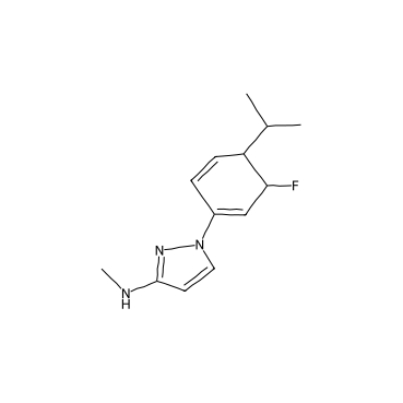 CNc1ccn(C2=CC(F)C(C(C)C)C=C2)n1